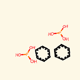 OP(O)O.OP(O)O.c1ccccc1.c1ccccc1